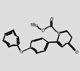 CC(C)(C)OC(=O)N1CCC(=O)C=C1c1ccc(Oc2ccccc2)cc1